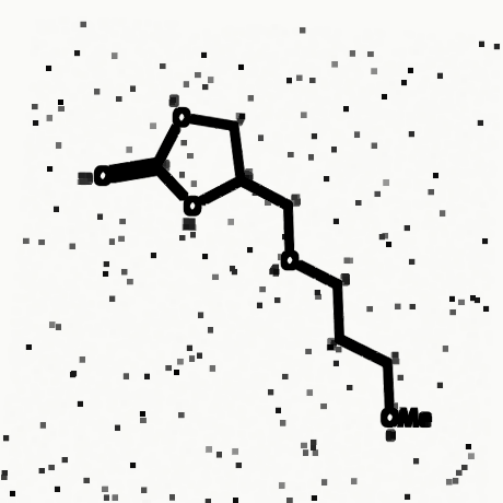 COCCCOCC1COC(=O)O1